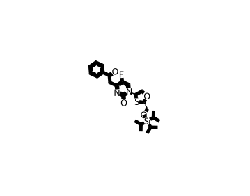 CC(C)[Si](OC[C@H]1OC[C@@H](n2cc(F)c(CC(=O)c3ccccc3)nc2=O)S1)(C(C)C)C(C)C